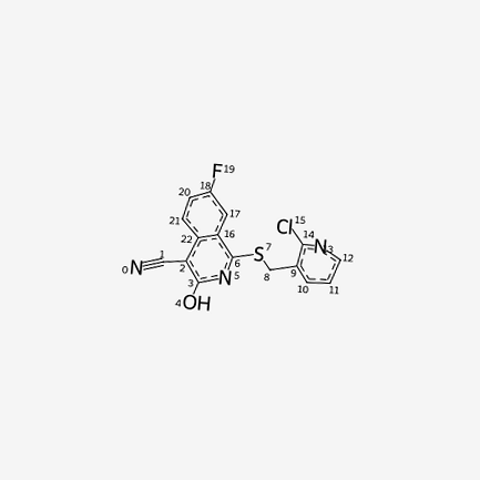 N#Cc1c(O)nc(SCc2cccnc2Cl)c2cc(F)ccc12